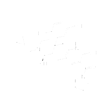 Cc1ccc(O)cc1C12CCN(CC3CC3)[C@H](C)C1CC1=C(C2)NC(O)C(C(=O)N2CCCC2)=C1